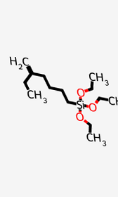 C=C(CC)CCCC[Si](OCC)(OCC)OCC